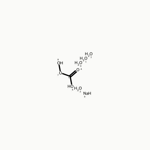 O.O.O.O.O=C(O)OO.[NaH]